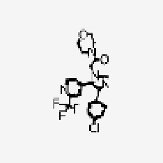 O=C(Cn1cnc(-c2ccc(Cl)cc2)c1-c1ccnc(C(F)(F)F)c1)N1CCOCC1